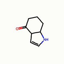 O=C1CCCC2N[C]=CC12